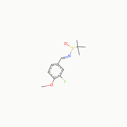 COc1ccc(C=N[S+]([O-])C(C)(C)C)cc1F